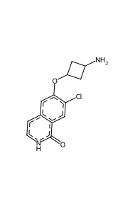 NC1CC(Oc2cc3cc[nH]c(=O)c3cc2Cl)C1